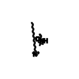 C=CC(=O)NC(C)(C)C.CCCCCCCCCCCCCC[N+](C)(C)C